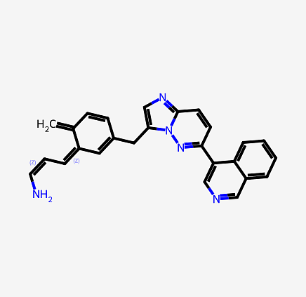 C=c1ccc(Cc2cnc3ccc(-c4cncc5ccccc45)nn23)c/c1=C/C=C\N